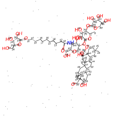 CC1O[C@@H](OC2C(O)[C@@H](NC(=O)CCCCCCCCCCO[C@@H]3O[C@@H](CO)C(O)C3O)C(CO)O[C@H]2OC(=O)[C@]23CCC(C)(C)CC2C2=CCC4C5(C)CC[C@H](O)C(C)(C=O)[C@@H]5CCC4(C)C2(C)C[C@H]3O)C(O)C(O)[C@H]1O[C@@H]1OC[C@@H](O)C(O)C1O